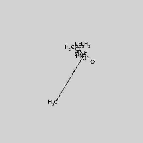 C=CCC1O[C@H](OC[C@H](NC(=O)C#CC#CC#CC#CC#CC#CC#CC#CC#CC#CC#CC#CC)[C@H](F)CCCCc2ccccc2)[C@@H](C=C)C(C=C)[C@H]1C=C